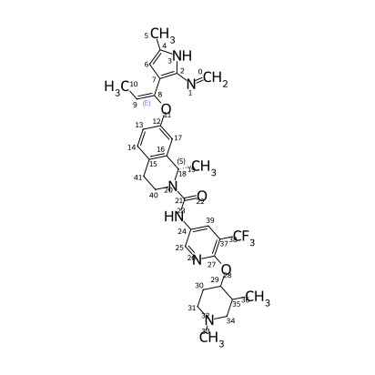 C=Nc1[nH]c(C)cc1/C(=C\C)Oc1ccc2c(c1)[C@H](C)N(C(=O)Nc1cnc(OC3CCN(C)CC3C)c(C(F)(F)F)c1)CC2